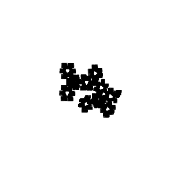 Fc1cccc(-c2ccc(-n3c4ccccc4c4cc(-c5nc(-c6ccccc6)nc(-c6ccccc6)n5)ccc43)cc2-c2nc(-c3ccccc3)nc(-c3ccccc3)n2)c1